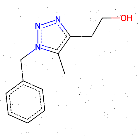 Cc1c(CCO)nnn1Cc1ccccc1